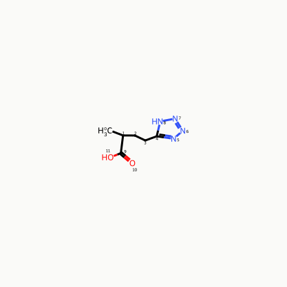 CC(CCc1nnn[nH]1)C(=O)O